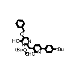 CC(C)(C)OC=O.CC(C)(C)c1ccc(-c2ccc(Cc3ncc(OCc4ccccc4)c(O)n3)cn2)cc1